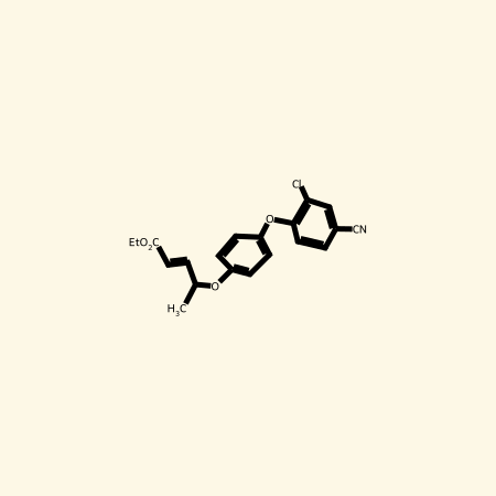 CCOC(=O)C=CC(C)Oc1ccc(Oc2ccc(C#N)cc2Cl)cc1